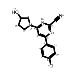 N#Cc1nc(-c2ccc(Cl)cc2)cc(N2CCC(O)C2)n1